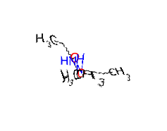 CCCC/C=C\CCCCCCCC(=O)NCCCC[C@H](NC(=O)CCCCCCCCCCCCC)C(C)C